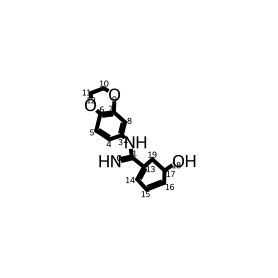 N=C(Nc1ccc2c(c1)OCCO2)C1=CC=CC(O)C1